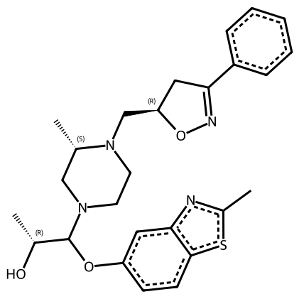 Cc1nc2cc(OC([C@@H](C)O)N3CCN(C[C@H]4CC(c5ccccc5)=NO4)[C@@H](C)C3)ccc2s1